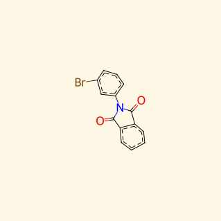 O=C1c2ccccc2C(=O)N1c1cccc(Br)c1